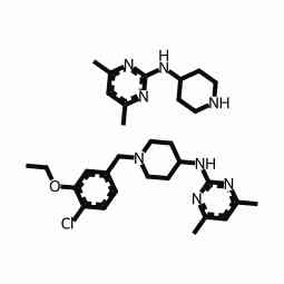 CCOc1cc(CN2CCC(Nc3nc(C)cc(C)n3)CC2)ccc1Cl.Cc1cc(C)nc(NC2CCNCC2)n1